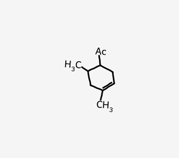 CC(=O)C1CC=C(C)CC1C